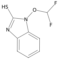 FC(F)On1c(S)nc2ccccc21